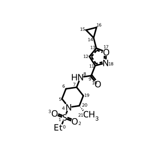 CCS(=O)(=O)N1CCC(NC(=O)c2cc(C3CC3)on2)C[C@@H]1C